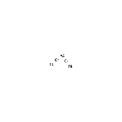 [Al].[Cr].[Cr].[Fe].[Ni]